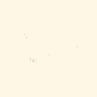 CC(=O)c1ccc(Oc2ccncc2N)cc1